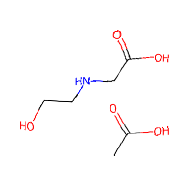 CC(=O)O.O=C(O)CNCCO